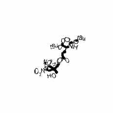 CC(C)(C)OC(=O)N[C@@H](CCC(=O)OCC(CO)(CO[N+](=O)[O-])CO[N+](=O)[O-])C(=O)OC(C)(C)C